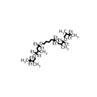 CCC(CC)(CCCCOC(CC)(CC)CC(C)C(CC)(CC)OCC(C)C(C)(CC)CC)OCC(C)C(CC)(CC)OCC(C)C(C)(CC)CC